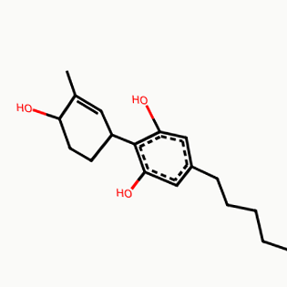 CCCCCc1cc(O)c(C2C=C(C)C(O)CC2)c(O)c1